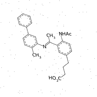 CC(=O)Nc1ccc(CCCC(=O)O)cc1/C(C)=N/c1cc(-c2ccccc2)ccc1C